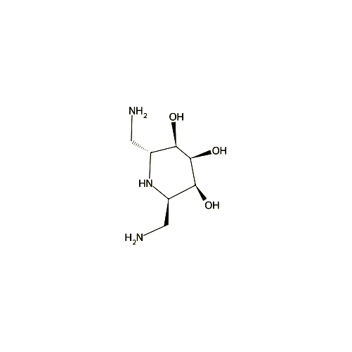 NC[C@H]1N[C@H](CN)[C@@H](O)[C@@H](O)[C@H]1O